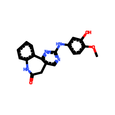 COc1ccc(Nc2ncc3c(n2)-c2ccccc2NC(=O)C3)cc1O